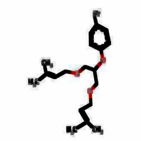 CC(C)=CCOCC(COCC=C(C)C)Oc1ccc(C(C)C)cc1